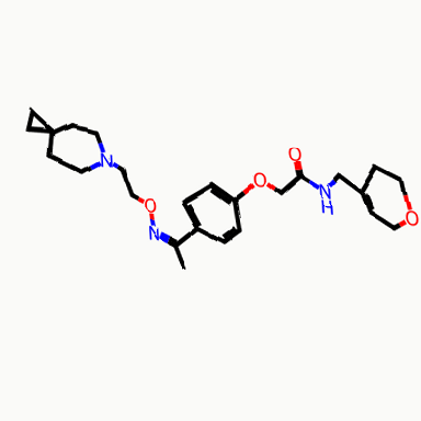 CC(=NOCCN1CCC2(CC1)CC2)c1ccc(OCC(=O)NCC2=CCOCC2)cc1